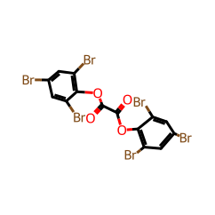 O=C(Oc1c(Br)cc(Br)cc1Br)C(=O)Oc1c(Br)cc(Br)cc1Br